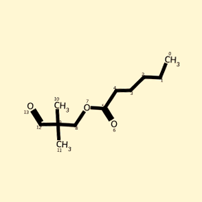 CCCCCC(=O)OCC(C)(C)[C]=O